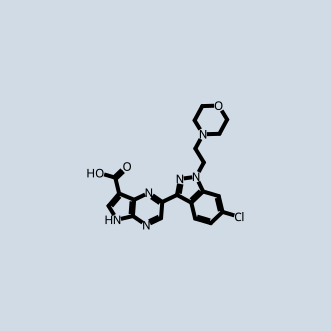 O=C(O)c1c[nH]c2ncc(-c3nn(CCN4CCOCC4)c4cc(Cl)ccc34)nc12